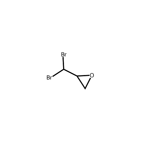 BrC(Br)C1CO1